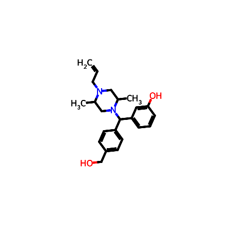 C=CCN1CC(C)N(C(c2ccc(CO)cc2)c2cccc(O)c2)CC1C